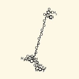 CN1C(=O)C[C@H](C(=O)NCCOCCOCCOCCOCCOCCOCCOCCOCCC(=O)N[C@@H]2C[C@H](NC(C)(C)C)CCC2N2CC[C@H](Nc3ncnc4ccc(C(F)(F)F)cc34)C2=O)[C@H]1c1cccnc1